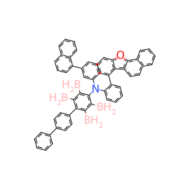 Bc1c(B)c(N(c2cccc(-c3cccc4ccccc34)c2)c2ccccc2-c2cccc3oc4c5ccccc5ccc4c23)c(B)c(B)c1-c1ccc(-c2ccccc2)cc1